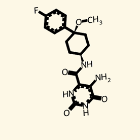 CO[C@]1(c2ccc(F)cc2)CC[C@H](NC(=O)c2[nH]c(=O)[nH]c(=O)c2N)CC1